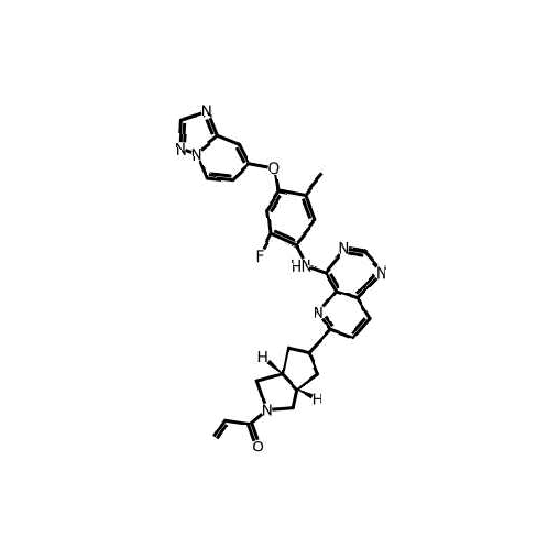 C=CC(=O)N1C[C@H]2CC(c3ccc4ncnc(Nc5cc(C)c(Oc6ccn7ncnc7c6)cc5F)c4n3)C[C@H]2C1